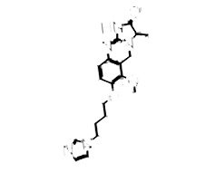 COc1c(OCCCCn2ccnc2)ccc2c1CN1C(=N2)NC(=O)C1C